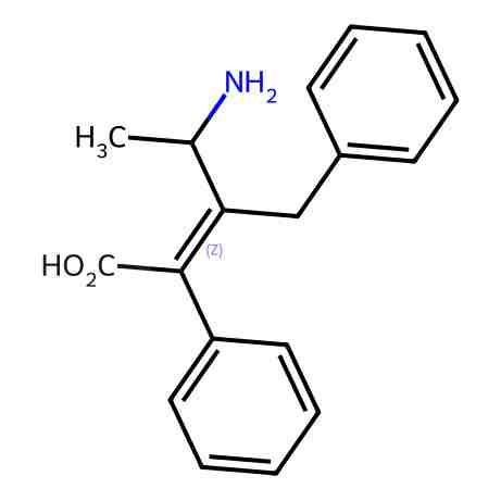 CC(N)/C(Cc1ccccc1)=C(\C(=O)O)c1ccccc1